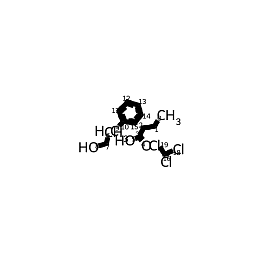 CCCC(=O)O.CCO.Cc1ccccc1.ClC(Cl)Cl